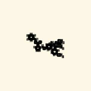 C[C@H]1CC[C@H](c2cccc(OC[C@@H]3CCCN3C(=O)OCc3ccccc3)c2)N(C(=O)OC(C)(C)C)C1